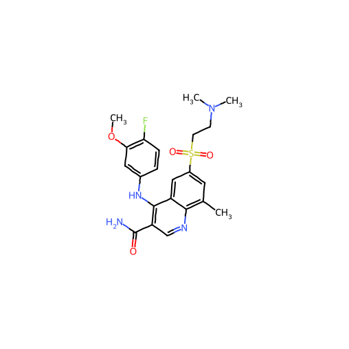 COc1cc(Nc2c(C(N)=O)cnc3c(C)cc(S(=O)(=O)CCN(C)C)cc23)ccc1F